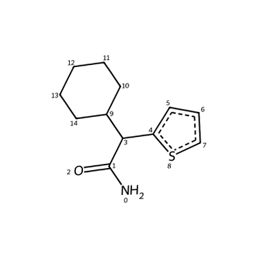 NC(=O)C(c1cccs1)C1CCCCC1